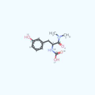 CN(C)C(=O)C(Cc1cccc(O)c1)NC(=O)O